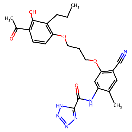 CCCc1c(OCCCOc2cc(NC(=O)c3nnn[nH]3)c(C)cc2C#N)ccc(C(C)=O)c1O